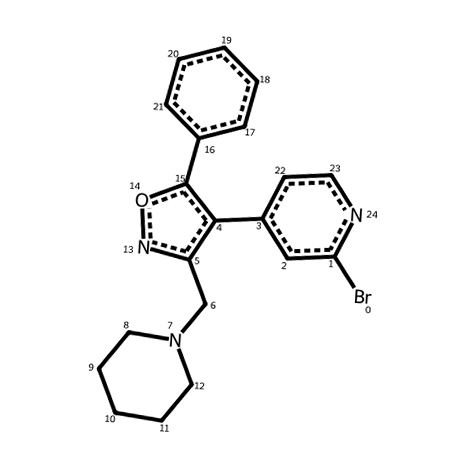 Brc1cc(-c2c(CN3CCCCC3)noc2-c2ccccc2)ccn1